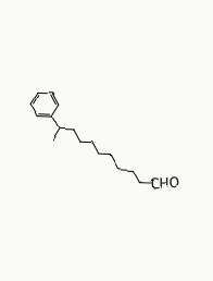 CC(CCCCCCCCC=O)c1ccccc1